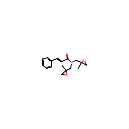 CC1(CN(CC2(C)CO2)C(=O)C=Cc2ccccc2)CO1